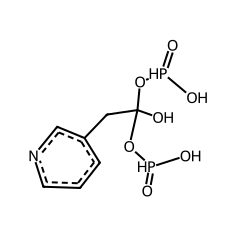 O=[PH](O)OC(O)(Cc1cccnc1)O[PH](=O)O